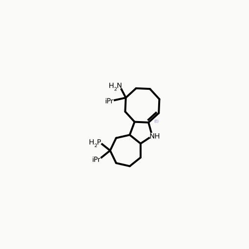 CC(C)C1(N)CCC/C=C2/NC3CCCC(P)(C(C)C)CC3C2C1